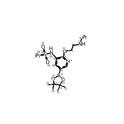 CC(C)NCCOc1ncc(B2OC(C)(C)C(C)(C)O2)cc1NS(=O)(=O)C(C)C